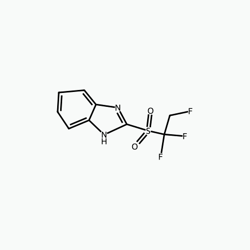 O=S(=O)(c1nc2ccccc2[nH]1)C(F)(F)CF